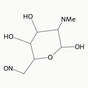 CNC1C(O)OC(CN=O)C(O)C1O